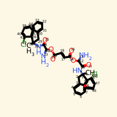 CC(Cc1ccccc1)(NC(=O)C(N)OC(=O)/C=C/C(=O)OC(N)C(=O)NC(C)(Cc1ccccc1)c1ccccc1Cl)c1ccccc1Cl